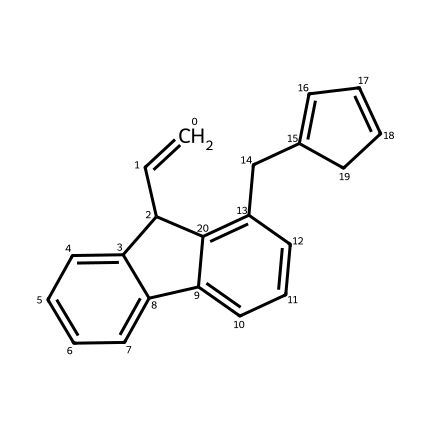 C=CC1c2ccccc2-c2cccc(CC3=CC=CC3)c21